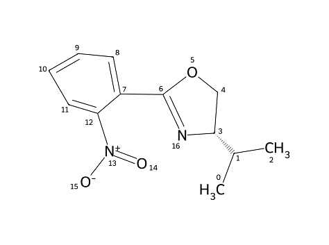 CC(C)[C@H]1COC(c2ccccc2[N+](=O)[O-])=N1